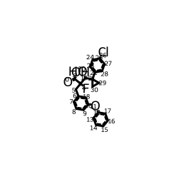 O=C(O)C(F)(Cc1cccc(Oc2ccccc2)c1)C(O)C1(c2ccc(Cl)cc2)CC1